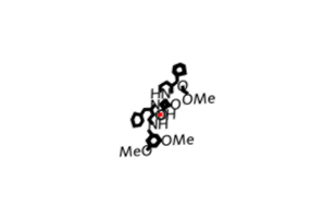 COCCOC(c1ccccc1)C1CCCN(c2c(NC(CC3CCCCC3)C(O)CNCc3cc(OC)cc(OC)c3)c(=O)c2=O)C1